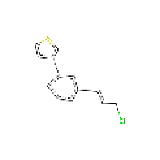 ClCC=Cc1cccc(-c2ccsc2)c1